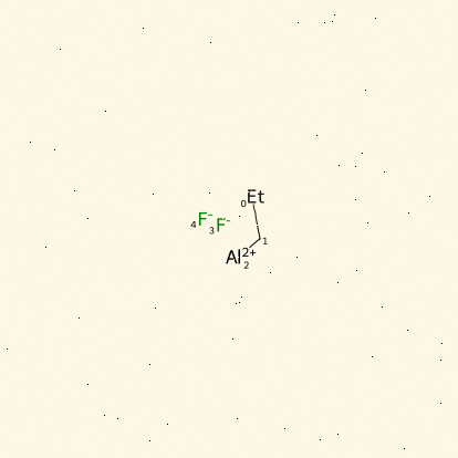 CC[CH2][Al+2].[F-].[F-]